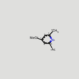 COc1cc(C)nc(C(C)=O)c1